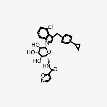 O=C(NC[C@H]1O[C@@H](n2cc(Cc3ccc(C4CC4)cc3)c3c(Cl)cccc32)[C@H](O)[C@@H](O)[C@@H]1O)c1ccno1